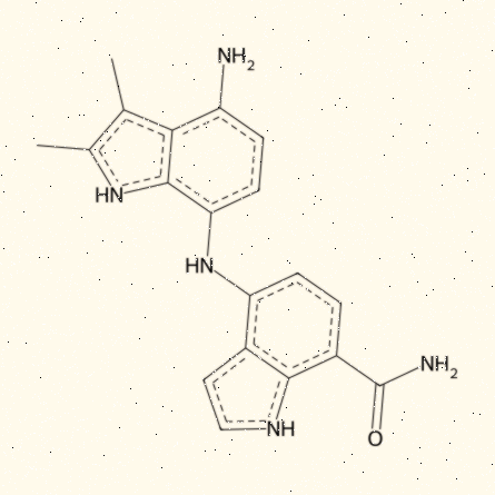 Cc1[nH]c2c(Nc3ccc(C(N)=O)c4[nH]ccc34)ccc(N)c2c1C